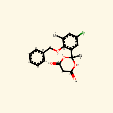 CCc1cc(Br)cc(C2(CC)OC(=O)CC(=O)O2)c1OCc1ccccc1